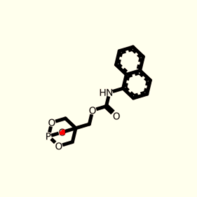 O=C(Nc1cccc2ccccc12)OCC12COP(OC1)OC2